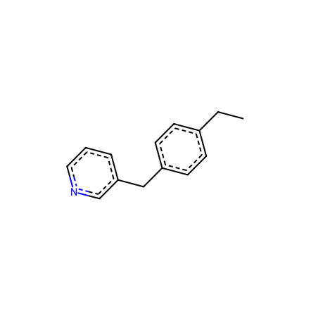 CCc1ccc(Cc2cccnc2)cc1